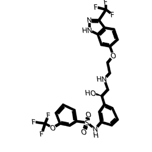 O=S(=O)(Nc1cccc([C@@H](O)CNCCOc2ccc3c(C(F)(F)F)n[nH]c3c2)c1)c1cccc(OC(F)(F)F)c1